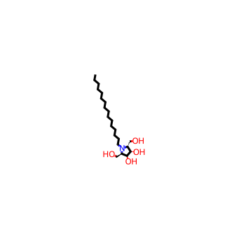 CCCCCCCCCCCCCCCCN1[C@H](CO)[C@H](O)[C@@H](O)[C@H]1CO